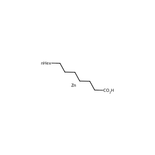 CCCCCCCCCCCCC(=O)O.[Zn]